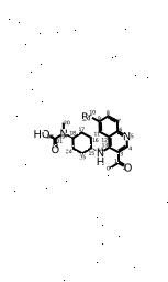 CC(=O)c1cnc2ccc(Br)cc2c1N[C@H]1CC[C@H](N(C)C(=O)O)CC1